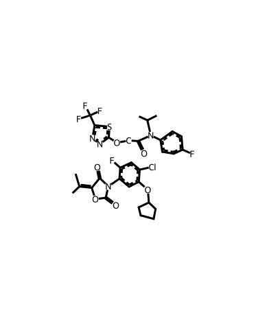 CC(C)=C1OC(=O)N(c2cc(OC3CCCC3)c(Cl)cc2F)C1=O.CC(C)N(C(=O)COc1nnc(C(F)(F)F)s1)c1ccc(F)cc1